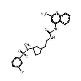 Cc1cc(NC(=O)NCCN2CCC(N(C)S(=O)(=O)c3cccc(Br)c3)C2)c2ccccc2n1